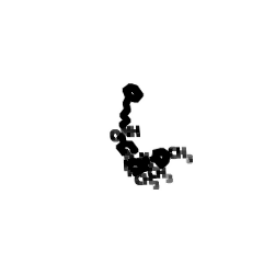 Cc1ccc(-n2nc3c(N4CCC(C(=O)NCCCCCc5ccccc5)CC4)nnc(C)c3c2C)cc1